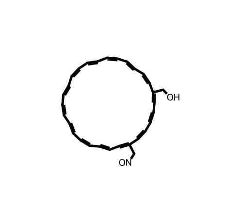 O=NCC1=C\C=C\C=C/C=C/C=C\C=C\C=C/C=C/C=C\C=C\C=C/C(CO)=C\C=C/C=C\1